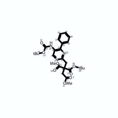 COC(=O)CC(Cc1ncc(NC(=O)OC(C)(C)C)c(-c2ccccc2)n1)(C(=O)OC)C(=O)OC(C)(C)C